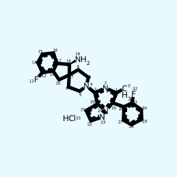 Cc1nc(N2CCC3(CC2)Cc2c(F)cccc2[C@H]3N)c2ccnn2c1-c1ccccc1F.Cl